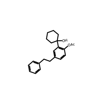 CC(=O)Oc1ccc(CCc2ccccc2)cc1C1(O)CCCCC1